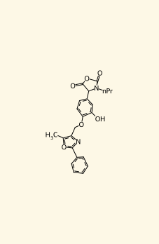 CCCN1C(=O)OC(=O)C1c1ccc(OCc2nc(-c3ccccc3)oc2C)c(O)c1